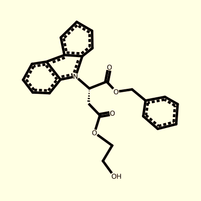 O=C(C[C@@H](C(=O)OCc1ccccc1)n1c2ccccc2c2ccccc21)OCCO